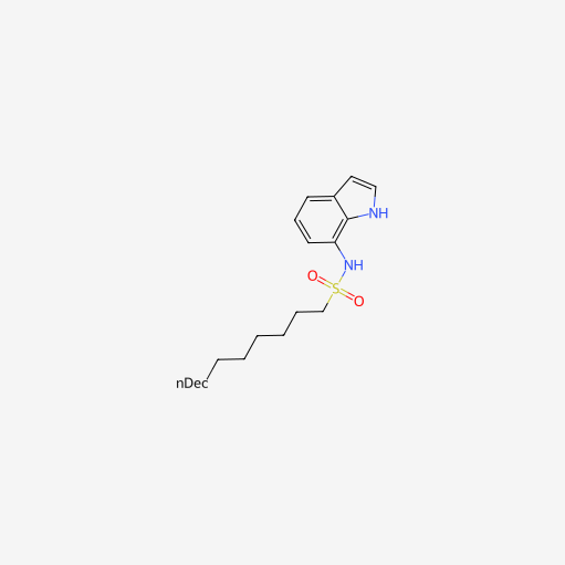 CCCCCCCCCCCCCCCCS(=O)(=O)Nc1cccc2cc[nH]c12